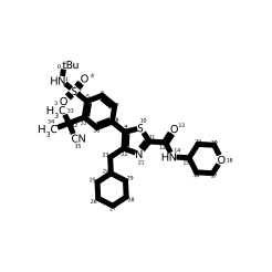 CC(C)(C)NS(=O)(=O)c1ccc(-c2sc(C(=O)NC3CCOCC3)nc2CC2CCCCC2)cc1C(C)(C)C#N